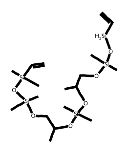 C=C[SiH2]O[Si](C)(C)OCC(C)O[Si](C)(C)OC(C)CO[Si](C)(C)O[Si](C)(C)C=C